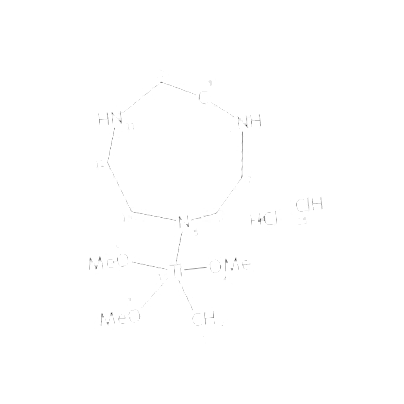 C[O][Ti]([CH3])([O]C)([O]C)[N]1CCNCCNCC1.Cl.Cl